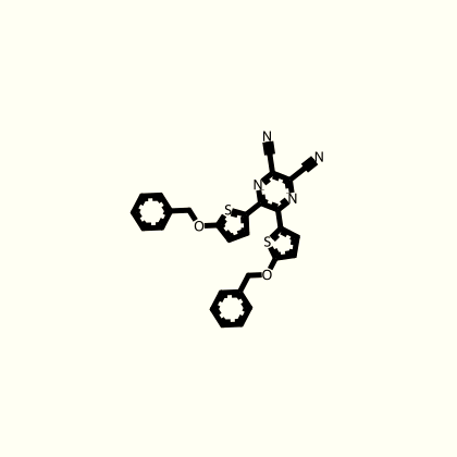 N#Cc1nc(-c2ccc(OCc3ccccc3)s2)c(-c2ccc(OCc3ccccc3)s2)nc1C#N